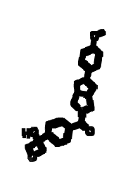 COc1ccc(C2=CC3CN(C(=O)c4ccc(C5(O)COC5)cc4)CC3C2)cc1